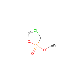 CCCOP(=O)(CCl)OCCC